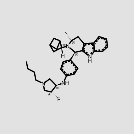 CCCCN1C[C@@H](F)[C@H](Nc2ccc([C@@H]3c4[nH]c5ccccc5c4C[C@@H](C)N3[C@@H]3CC4CC3C4)cc2)C1